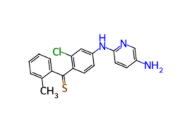 Cc1ccccc1C(=S)c1ccc(Nc2ccc(N)cn2)cc1Cl